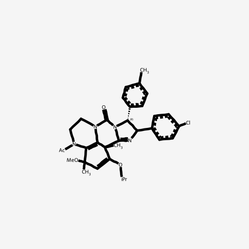 COC1(C)C=C(OC(C)C)C2(C)C3=NC(c4ccc(Cl)cc4)[C@@H](c4ccc(C)cc4)N3C(=O)N3CCN(C(C)=O)C1=C32